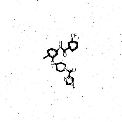 Cc1ccc(NC(=O)c2cccc(C(F)(F)F)c2)cc1OC1CCN(C(=O)c2cn(C)cn2)CC1